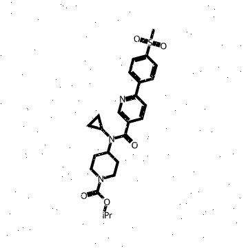 CC(C)OC(=O)N1CCC(N(C(=O)c2ccc(-c3ccc(S(C)(=O)=O)cc3)nc2)C2CC2)CC1